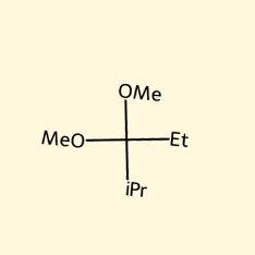 CCC(OC)(OC)C(C)C